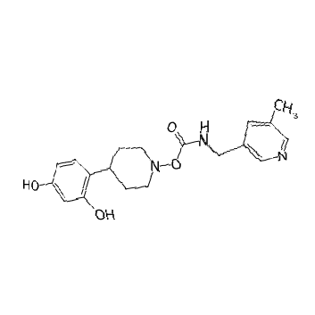 Cc1cncc(CNC(=O)ON2CCC(c3ccc(O)cc3O)CC2)c1